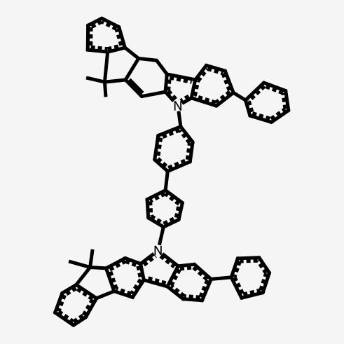 CC1(C)C2=Cc3c(c4ccc(-c5ccccc5)cc4n3-c3ccc(-c4ccc(-n5c6cc(-c7ccccc7)ccc6c6cc7c(cc65)C(C)(C)c5ccccc5-7)cc4)cc3)CC2c2ccccc21